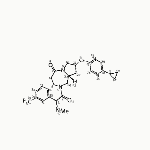 CNC(C(=O)N1CCC(=O)N2C[C@H](Oc3cnc(C4CC4)cn3)C[C@@H]2C1)c1cccc(C(F)(F)F)c1